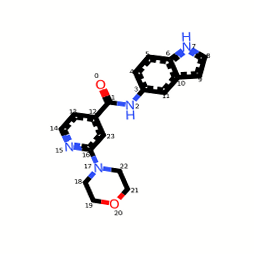 O=C(Nc1ccc2[nH]ccc2c1)c1ccnc(N2CCOCC2)c1